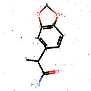 C[C](C(N)=O)c1ccc2c(c1)OCO2